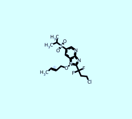 C/C=C/COn1c(C(F)(F)CCCl)nc2ncc(S(=O)(=O)C(C)C)cc21